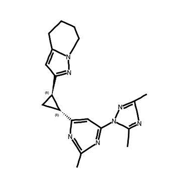 Cc1nc([C@@H]2C[C@H]2c2cc3n(n2)CCCC3)cc(-n2nc(C)nc2C)n1